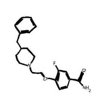 NC(=O)c1ccc(OCCN2CCC(Cc3ccccc3)CC2)c(F)c1